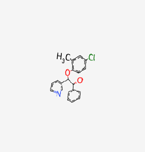 Cc1cc(Cl)ccc1OC(C(=O)c1ccccc1)c1cccnc1